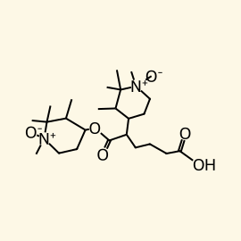 CC1C(OC(=O)C(CCCC(=O)O)C2CC[N+](C)([O-])C(C)(C)C2C)CC[N+](C)([O-])C1(C)C